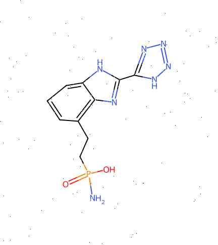 NP(=O)(O)CCc1cccc2[nH]c(-c3nnn[nH]3)nc12